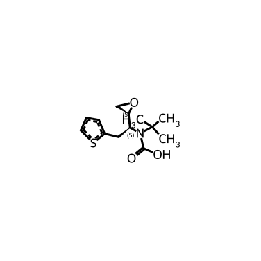 CC(C)(C)N(C(=O)O)[C@@H](Cc1cccs1)[C@H]1CO1